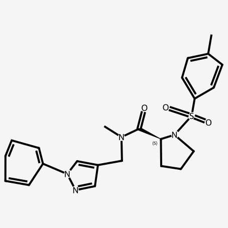 Cc1ccc(S(=O)(=O)N2CCC[C@H]2C(=O)N(C)Cc2cnn(-c3ccccc3)c2)cc1